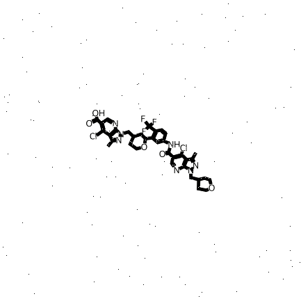 Cc1nn(CC2CCOC(c3cc(NC(=O)c4cnc5c(c(C)nn5CC5CCOCC5)c4Cl)ccc3C(F)(F)F)C2)c2ncc(C(=O)O)c(Cl)c12